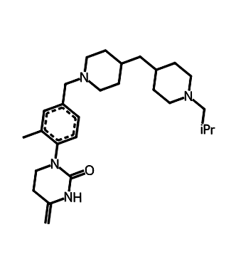 C=C1CCN(c2ccc(CN3CCC(CC4CCN(CC(C)C)CC4)CC3)cc2C)C(=O)N1